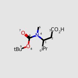 CC(C)C(CC(=O)O)N(C)C(=O)OC(C)(C)C